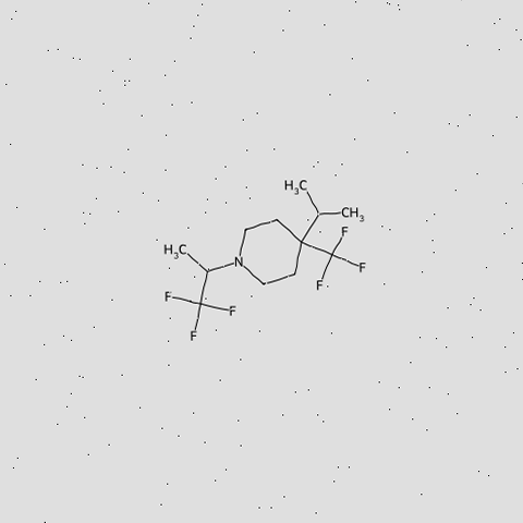 CC(N1CCC(C(C)C)(C(F)(F)F)CC1)C(F)(F)F